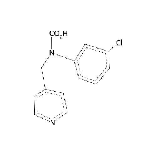 O=C(O)N(Cc1ccncc1)c1cccc(Cl)c1